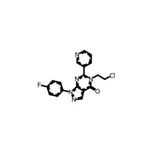 O=c1c2cnn(-c3ccc(F)cc3)c2nc(-c2cccnc2)n1CCCl